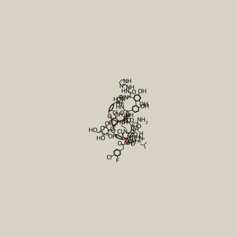 CN[C@H](CC(C)C)C(=O)N[C@H]1C(=O)N[C@@H](CC(N)=O)C(=O)N[C@H]2C(=O)N[C@H]3C(=O)N[C@H](C(=O)N[C@@H](C(=O)NNC4=NCCN4)c4cc(O)cc(O)c4-c4cc3ccc4O)[C@H](O)c3ccc(c(Cl)c3)Oc3cc2cc(c3O[C@@H]2O[C@H](CO)[C@@H](O)[C@H](O)[C@H]2O[C@H]2C[C@](C)(NCCn3ccc(NC(=O)Cc4ccc(Cl)c(F)c4)nc3=O)[C@H](O)[C@H](C)O2)Oc2ccc(cc2Cl)[C@H]1O